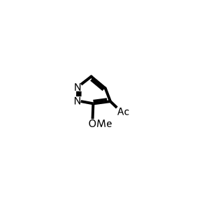 COc1nnccc1C(C)=O